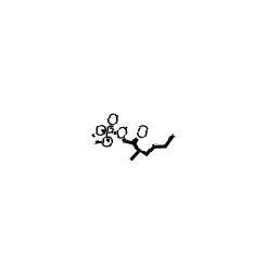 CCCCC(C)C(=O)COP(=O)(OC)OC